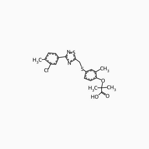 Cc1ccc(-c2nsc(CSc3ccc(OC(C)(C)C(=O)O)c(C)c3)n2)cc1Cl